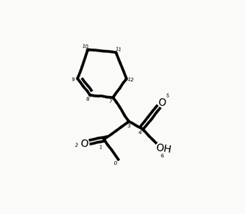 CC(=O)C(C(=O)O)C1C=CCCC1